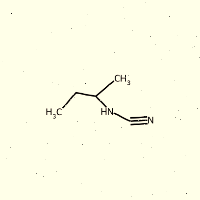 CCC(C)NC#N